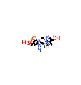 Cc1nc(N2CCN3c4cc(S(C)(=O)=O)c(CO)cc4NC3[C@H]2C(C)C)ncc1CO